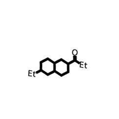 CCC(=O)C1CCC2CC(CC)CCC2C1